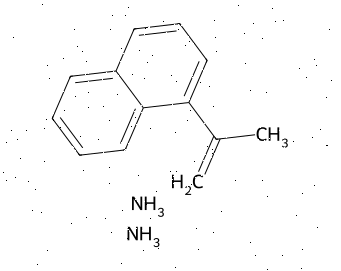 C=C(C)c1cccc2ccccc12.N.N